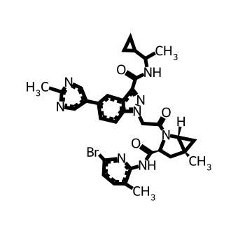 Cc1ncc(-c2ccc3c(c2)c(C(=O)NC(C)C2CC2)nn3CC(=O)N2[C@H](C(=O)Nc3nc(Br)ccc3C)C[C@@]3(C)C[C@@H]23)cn1